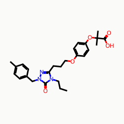 CCCn1c(CCCOc2ccc(OC(C)(C)C(=O)O)cc2)nn(Cc2ccc(C)cc2)c1=O